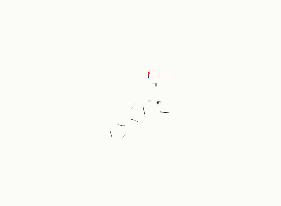 C=C[C@]1(C(=O)OC)CC[C@@H](C(=C)C)[C@H](c2ccc(-c3ccccc3)cc2)C1